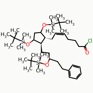 CC(C)(C)[Si](C)(C)OC1CC(O[Si](C)(C)C(C)(C)C)[C@H](CC[C@@H](CCc2ccccc2)O[Si](C)(C)C(C)(C)C)[C@H]1C/C=C\CCCC(=O)Cl